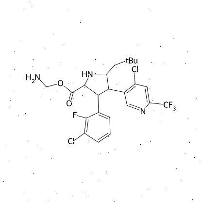 CC(C)(C)CC1NC(C(=O)OCN)C(c2cccc(Cl)c2F)C1c1cnc(C(F)(F)F)cc1Cl